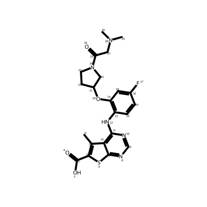 Cc1c(C(=O)O)sc2ncnc(Nc3ccc(F)cc3OC3CCN(C(=O)CN(C)C)C3)c12